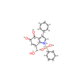 O=C1C=C(CO)c2c(c(-c3ccccc3)cn2S(=O)(=O)c2ccccc2)C1=O